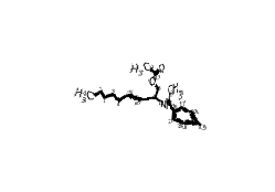 CCCCCCCC(COC(C)=O)N[C@H](C)c1ccccc1